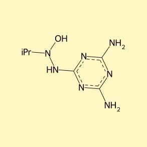 CC(C)N(O)Nc1nc(N)nc(N)n1